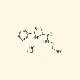 CC(C)CCNC(=O)C1CSC(c2cccnc2)N1.Cl.Cl